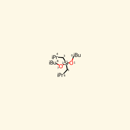 CCC(C)O[Si](CC(C)C)(CC(C)C)OC(C)CC